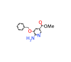 COC(=O)c1cnc(N)c(OCc2ccccc2)c1